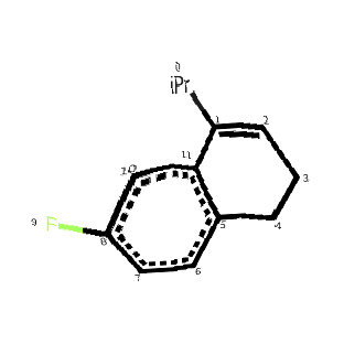 CC(C)C1=CCCc2ccc(F)cc21